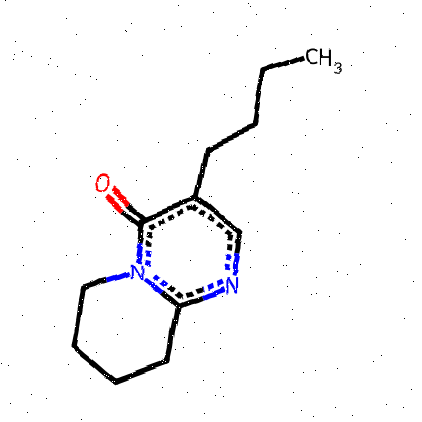 CCCCc1cnc2n(c1=O)CCCC2